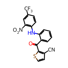 N#Cc1ccsc1C(=O)c1ccccc1Nc1ccc(C(F)(F)F)cc1[N+](=O)[O-]